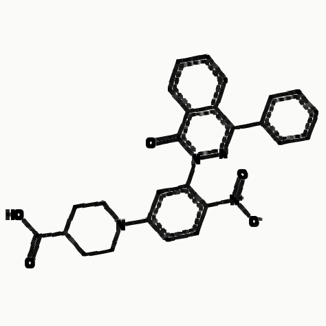 O=C(O)C1CCN(c2ccc([N+](=O)[O-])c(-n3nc(-c4ccccc4)c4ccccc4c3=O)c2)CC1